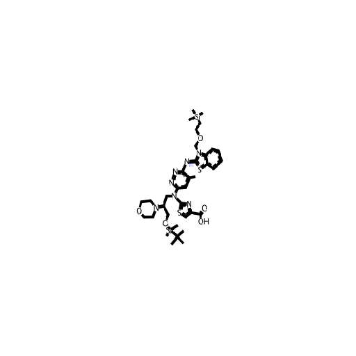 Cc1cc(N(CC(CO[Si](C)(C)C(C)(C)C)N2CCOCC2)c2nc(C(=O)O)cs2)nnc1/N=c1\sc2ccccc2n1COCC[Si](C)(C)C